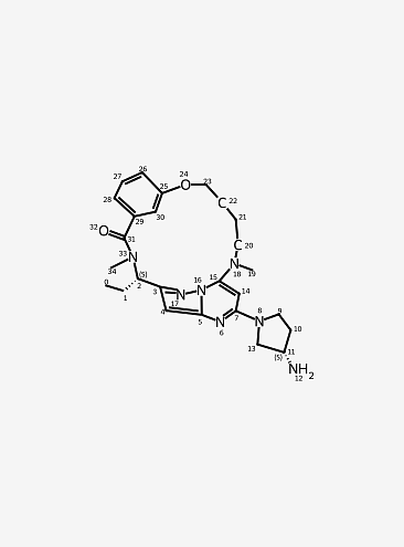 CC[C@H]1c2cc3nc(N4CC[C@H](N)C4)cc(n3n2)N(C)CCCCOc2cccc(c2)C(=O)N1C